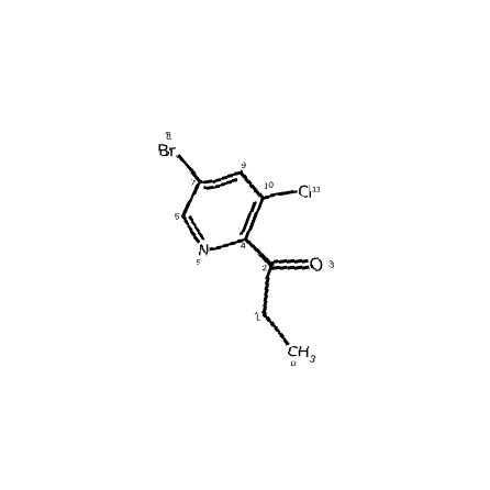 CCC(=O)c1ncc(Br)cc1Cl